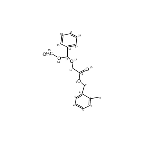 Cc1ccccc1COC(=O)COC(O[C]=O)c1ccccc1